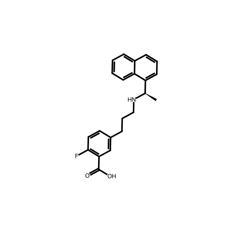 C[C@@H](NCCCc1ccc(F)c(C(=O)O)c1)c1cccc2ccccc12